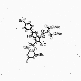 [C-]#[N+]c1c(C(=O)OC2C(C(C)(C)C)CC(C)CC2C(C)(C)C)c2[nH]c(-c3ccc(C(C)(C)C)cc3)nn2c1OC(=O)N(C(=O)OC)C(=O)OC